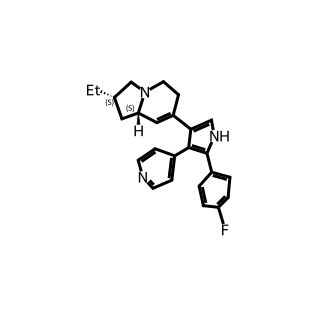 CC[C@H]1C[C@H]2C=C(c3c[nH]c(-c4ccc(F)cc4)c3-c3ccncc3)CCN2C1